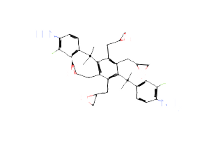 CC(C)(c1ccc(N)c(F)c1)c1c(CC2CO2)c(CC2CO2)c(C(C)(C)c2ccc(N)c(F)c2)c(CC2CO2)c1CC1CO1